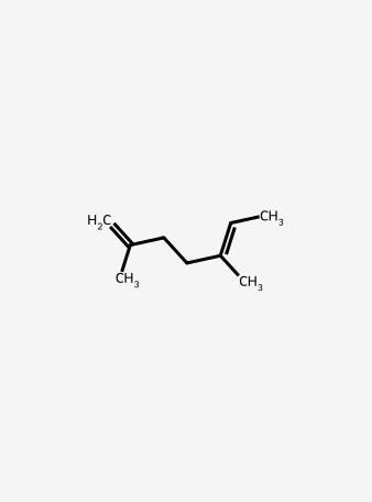 C=C(C)CCC(C)=CC